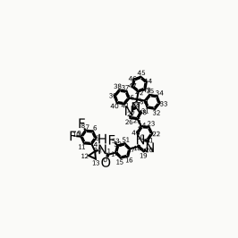 O=C(NC1(c2ccc(F)c(F)c2)CC1)c1ccc(-c2cnc3ccc(-c4cnn(C(c5ccccc5)(c5ccccc5)c5ccccc5)c4)cn23)cc1F